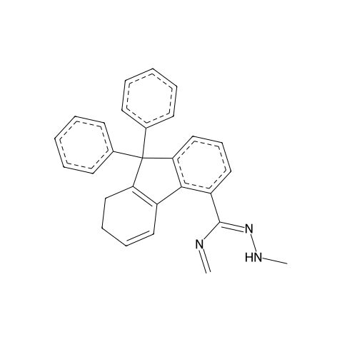 C=N/C(=N\NC)c1cccc2c1C1=C(CCC=C1)C2(c1ccccc1)c1ccccc1